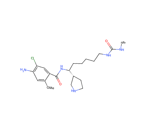 CCCNC(=O)NCCCCCC(NC(=O)c1cc(Cl)c(N)cc1OC)[C@@H]1CCNC1